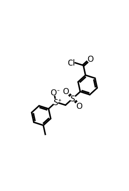 Cc1cccc([S+]([O-])CS(=O)(=O)c2cccc(C(=O)Cl)c2)c1